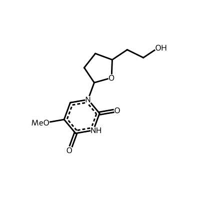 COc1cn(C2CCC(CCO)O2)c(=O)[nH]c1=O